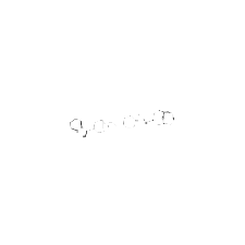 O=C(N[C@H]1CC[C@H](CCN2CCC(c3coc4ccccc34)CC2)CC1)C1CC2CC3CC(C2)C(C3)C1